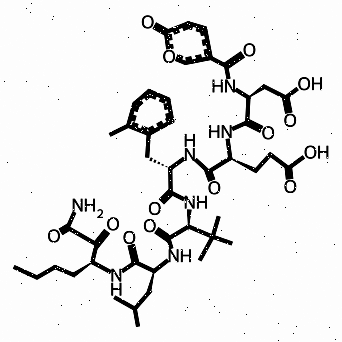 CCCC[C@H](NC(=O)[C@H](CC(C)C)NC(=O)[C@@H](NC(=O)[C@H](Cc1ccccc1C)NC(=O)[C@H](CCC(=O)O)NC(=O)[C@H](CC(=O)O)NC(=O)c1ccc(=O)oc1)C(C)(C)C)C(=O)C(N)=O